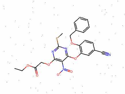 CCOC(=O)COc1nc(SC)nc(Oc2cc(C#N)ccc2OCc2ccccc2)c1[N+](=O)[O-]